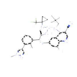 Cc1c(-c2cnn(C)c2)cccc1[C@H](Nc1cc(Cl)c2ncc(C#N)c(NCC(C)(C)C)c2c1)C1=CN(C2(C(F)(F)F)CC2)NN1